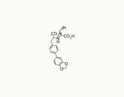 CC(C)CC(NC(Cc1ccc(-c2ccc3c(c2)OCO3)cc1)C(=O)O)C(=O)O